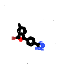 Cc1ccc2c(-c3ccc(-c4nnn[nH]4)cc3)oc(Br)c2c1